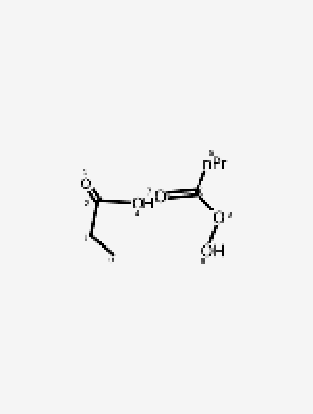 CCC(=O)O.CCCC(=O)OO